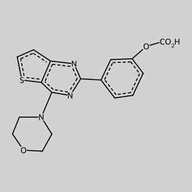 O=C(O)Oc1cccc(-c2nc(N3CCOCC3)c3sccc3n2)c1